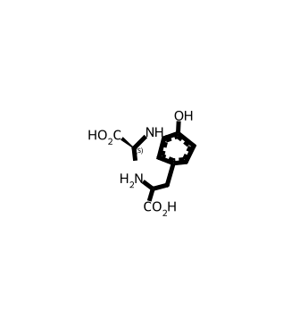 C[C@H](N)C(=O)O.NC(Cc1ccc(O)cc1)C(=O)O